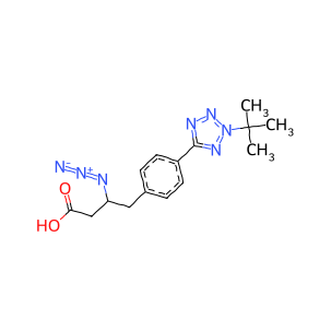 CC(C)(C)n1nnc(-c2ccc(CC(CC(=O)O)N=[N+]=[N-])cc2)n1